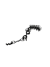 CCCCOCCCCOc1ccc(-c2ccc3c(c2)OC(CC(F)(F)C(F)(F)C(F)(F)C(F)(F)C(F)(F)C(F)(F)F)O3)cn1